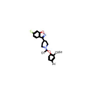 CCC(Oc1ccc(C(C)=O)cc1OC)N1CCC(c2noc3cc(F)ccc23)CC1